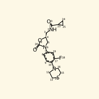 O=C(NC[C@H]1CN(c2ccc(N3CCSCC3)c(F)c2)C(=O)O1)C1CC1